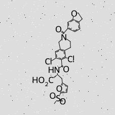 CS(=O)(=O)c1ccc(C[C@H](NC(=O)c2c(Cl)cc3c(c2Cl)CCN(C(=O)c2ccc4c(c2)OCC4)C3)C(=O)O)o1